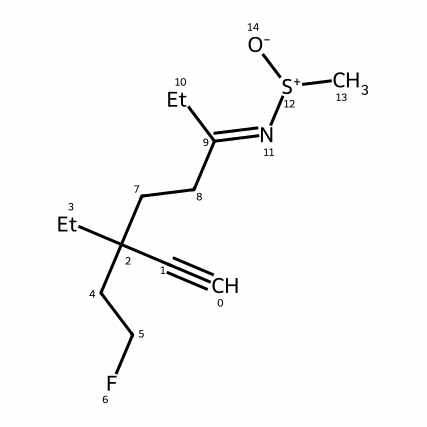 C#CC(CC)(CCF)CC/C(CC)=N/[S+](C)[O-]